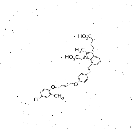 Cc1cc(Cl)ccc1OC/C=C/COc1ccc(C=Cc2cccc3c(CCCC(=O)O)c(C)n(CC(=O)O)c23)cc1